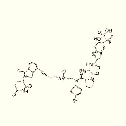 CC(C)(C)C(NC(=O)c1cc2cc(C(F)(F)P(=O)(O)O)ccc2s1)C(=O)N1CCC[C@H]1C(=O)N(CCC(=O)NCCC#Cc1cccc2c1CN(C1CCC(=O)NC1=O)C2=O)c1ccc(Br)cc1